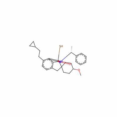 COC1CCC2(CC1)Cc1ccc(CCC3CC3)cc1C21NC(S)N([C@H](C)c2ccccc2)C1=O